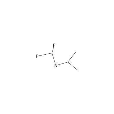 CC(C)[N]C(F)F